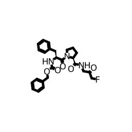 O=C(CF)CNC(=O)[C@@H]1CCCN1C(=O)[C@H](Cc1ccccc1)NC(=O)OCc1ccccc1